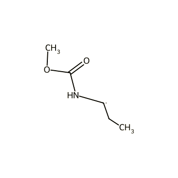 CC[CH]NC(=O)OC